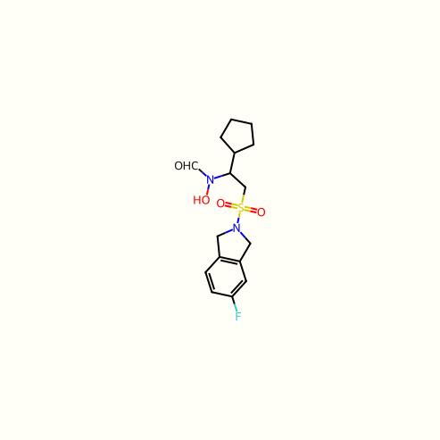 O=CN(O)C(CS(=O)(=O)N1Cc2ccc(F)cc2C1)C1CCCC1